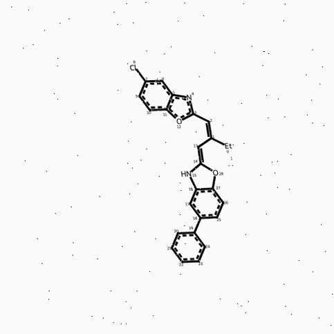 CCC(=Cc1nc2cc(Cl)ccc2o1)C=C1Nc2cc(-c3ccccc3)ccc2O1